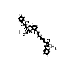 CN(Cc1ccccc1)C(=O)CCCCCCOc1cccc2c1N=C(N)N(CC(=O)Oc1ccccc1)C2